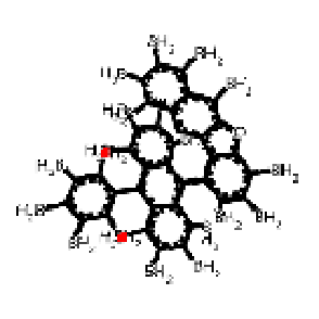 Bc1c(B)c(B)c(-c2c3c(B)c(B)c(B)c(B)c3c(-c3c(B)c(B)c(B)c4oc5c(B)c6c(B)c(B)c(B)c(B)c6cc5c34)c3c(B)c(B)c(B)c(B)c23)c(B)c1B